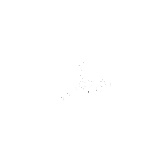 C=CC(=O)N1CCN(c2nc(N3CC(N4CCN(C5CC5)CC4)C3)nc3c(F)c(-c4c(C)ccc5[nH]ncc45)c(Cl)cc23)CC1